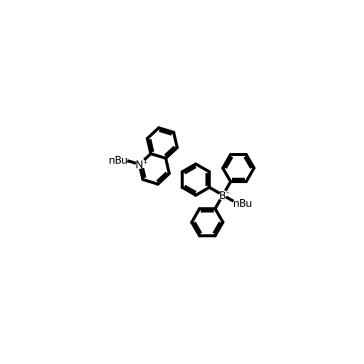 CCCC[B-](c1ccccc1)(c1ccccc1)c1ccccc1.CCCC[n+]1cccc2ccccc21